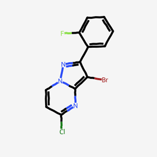 Fc1ccccc1-c1nn2ccc(Cl)nc2c1Br